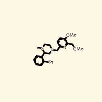 COCc1nc(CN2CCN(I)C(c3ccccc3C(C)C)C2)ccc1OC